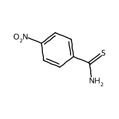 NC(=S)c1ccc([N+](=O)[O-])cc1